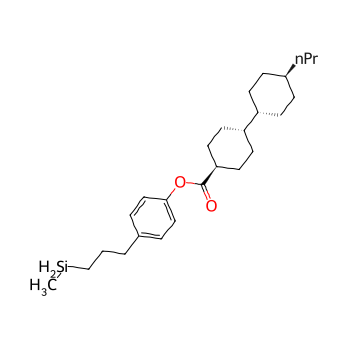 CCC[C@H]1CC[C@H]([C@H]2CC[C@H](C(=O)Oc3ccc(CCC[SiH2]C)cc3)CC2)CC1